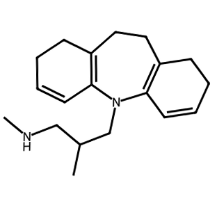 CNCC(C)CN1C2=C(CCC=C2)CCC2=C1C=CCC2